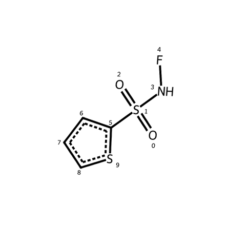 O=S(=O)(NF)c1cccs1